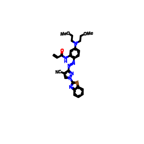 C=CC(=O)Nc1cc(N(CCOC)CCOC)ccc1N=Nc1nn(-c2nc3ccccc3s2)cc1C#N